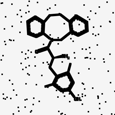 Cc1cc(O)cc(C)c1C[C@H](N)C(=O)N1Cc2ccccc2CCc2ccccc21